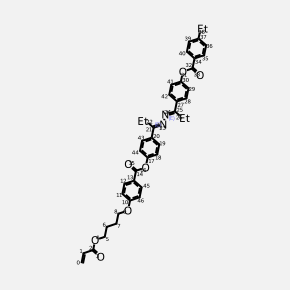 C=CC(=O)OCCCCOc1ccc(C(=O)Oc2ccc(/C(CC)=N/N=C(\CC)c3ccc(OC(=O)c4ccc(CC)cc4)cc3)cc2)cc1